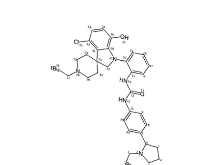 CC(C)CN1CCCC1c1ccc(NC(=O)Nc2ccccc2N2CC3(CCN(CC(C)(C)C)CC3)c3c(Cl)ccc(O)c32)cc1